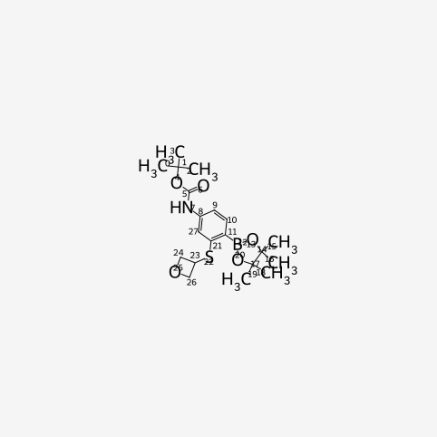 CC(C)(C)OC(=O)Nc1ccc(B2OC(C)(C)C(C)(C)O2)c(SC2COC2)c1